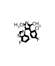 Cc1nn(C)c(-n2cnc3c(F)cccc32)c1-c1ccc(F)cc1Cl